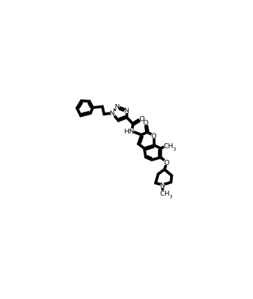 Cc1c(OC2CCN(C)CC2)ccc2cc(NC(=O)c3cn(CCc4ccccc4)nn3)c(=O)oc12